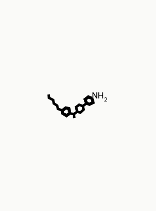 CCCCCCc1ccc(C(C)C2CCC(c3ccc(N)cc3)CC2)cc1